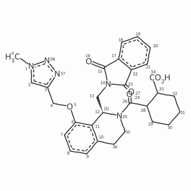 Cn1cc(COc2cccc3c2[C@@H](CN2C(=O)c4ccccc4C2=O)N(C(=O)C2CCCCC2C(=O)O)CC3)nn1